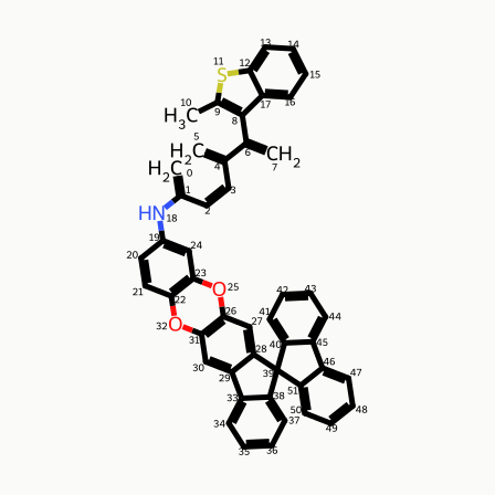 C=C(/C=C\C(=C)C(=C)c1c(C)sc2ccccc12)Nc1ccc2c(c1)Oc1cc3c(cc1O2)-c1ccccc1C31c2ccccc2-c2ccccc21